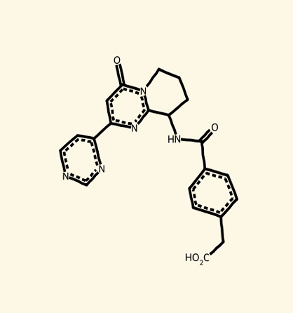 O=C(O)Cc1ccc(C(=O)NC2CCCn3c2nc(-c2ccncn2)cc3=O)cc1